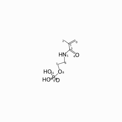 C=C(C)C(=O)NCCOP(=O)(O)O